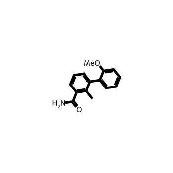 COc1ccccc1-c1cccc(C(N)=O)c1C